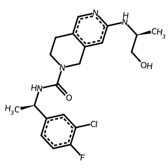 C[C@@H](CO)Nc1cc2c(cn1)CCN(C(=O)N[C@H](C)c1ccc(F)c(Cl)c1)C2